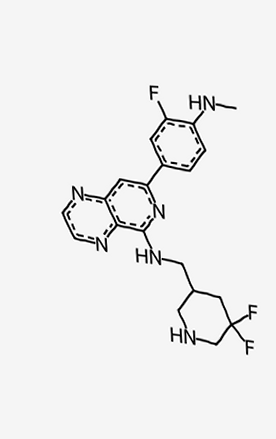 CNc1ccc(-c2cc3nccnc3c(NCC3CNCC(F)(F)C3)n2)cc1F